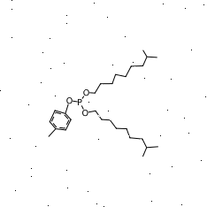 Cc1ccc(OP(OCCCCCCCC(C)C)OCCCCCCCC(C)C)cc1